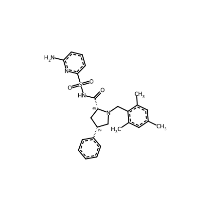 Cc1cc(C)c(CN2C[C@H](c3ccccc3)C[C@@H]2C(=O)NS(=O)(=O)c2cccc(N)n2)c(C)c1